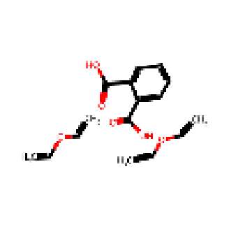 C=COC=C.C=COC=C.O=C(O)c1ccccc1C(=O)O